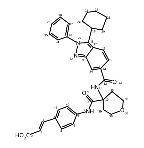 O=C(O)C=Cc1ccc(NC(=O)C2(NC(=O)c3ccc4c(C5CCCCC5)n(-c5ccccc5)nc4c3)CCOCC2)cc1